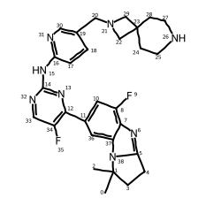 CC1(C)CCc2nc3c(F)cc(-c4nc(Nc5ccc(CN6CC7(CCNCC7)C6)cn5)ncc4F)cc3n21